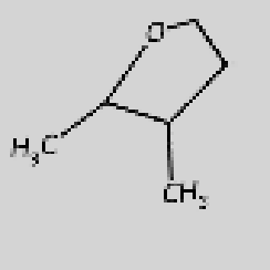 CC1[CH]COC1C